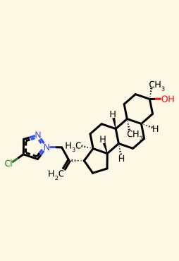 C=C(Cn1cc(Cl)cn1)[C@H]1CC[C@H]2[C@@H]3CC[C@@H]4C[C@](C)(O)CC[C@]4(C)[C@H]3CC[C@]12C